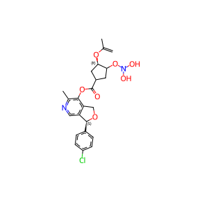 C=C(C)O[C@@H]1CC(C(=O)Oc2c(C)ncc3c2CO[C@H]3c2ccc(Cl)cc2)CC1ON(O)O